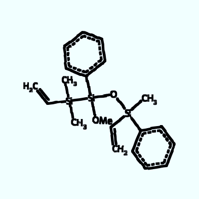 C=C[Si](C)(O[Si](OC)(c1ccccc1)[Si](C)(C)C=C)c1ccccc1